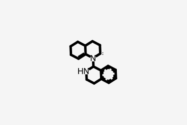 [C]1CCC2CCCC=C2N1C1NCCc2ccccc21